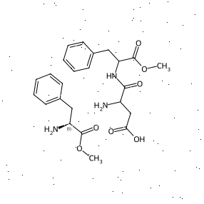 COC(=O)C(Cc1ccccc1)NC(=O)C(N)CC(=O)O.COC(=O)[C@@H](N)Cc1ccccc1